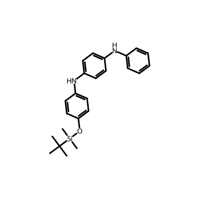 CC(C)(C)[Si](C)(C)Oc1ccc(Nc2ccc(Nc3ccccc3)cc2)cc1